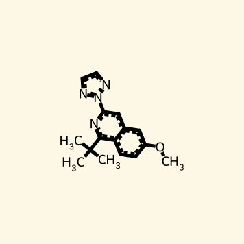 COc1ccc2c(C(C)(C)C)nc(-n3nccn3)cc2c1